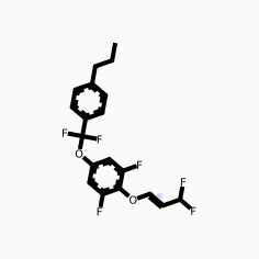 CCCc1ccc(C(F)(F)Oc2cc(F)c(O/C=C/C(F)F)c(F)c2)cc1